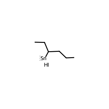 CCC[CH]([Sn])CC.I